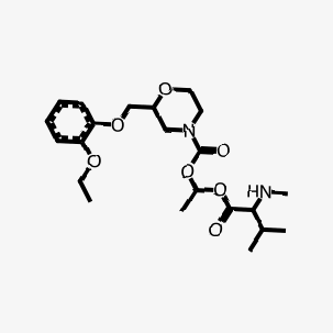 CCOc1ccccc1OCC1CN(C(=O)OC(C)OC(=O)C(NC)C(C)C)CCO1